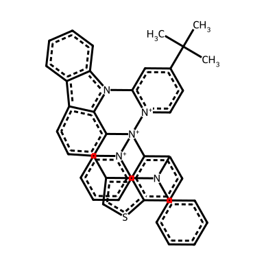 CC(C)(C)c1cc[n+]2c(c1)-n1c3ccccc3c3ccc4c(c31)[N+]21c2c(ccc3scc-4c23)N(c2ccccc2)c2cccc[n+]21